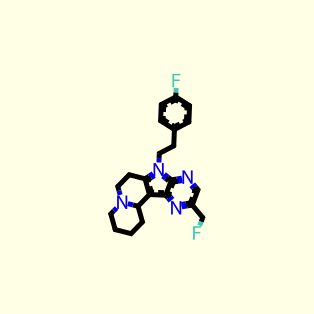 FCc1cnc2c(n1)c1c(n2CCc2ccc(F)cc2)CCN2CCCCC12